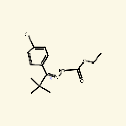 CCOC(=O)N/N=C(\c1ccc(Cl)cc1)C(C)(C)C